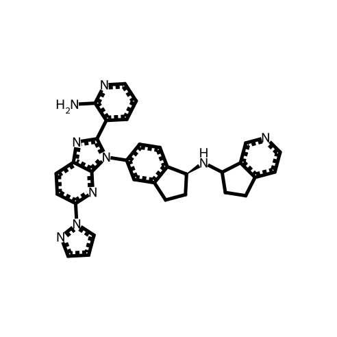 Nc1ncccc1-c1nc2ccc(-n3cccn3)nc2n1-c1ccc2c(c1)CC[C@@H]2NC1CCc2ccncc21